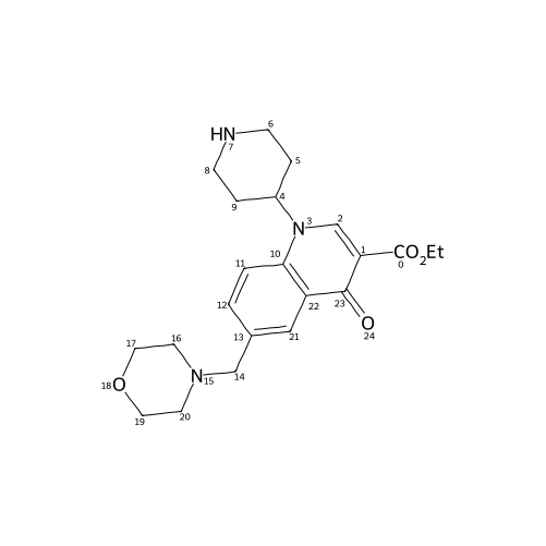 CCOC(=O)c1cn(C2CCNCC2)c2ccc(CN3CCOCC3)cc2c1=O